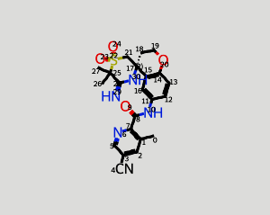 Cc1cc(C#N)cnc1C(=O)Nc1ccc2c(c1)[C@]1(CCO2)CS(=O)(=O)C(C)(C)C(=N)N1